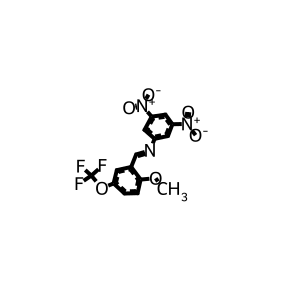 COc1ccc(OC(F)(F)F)cc1/C=N/c1cc([N+](=O)[O-])cc([N+](=O)[O-])c1